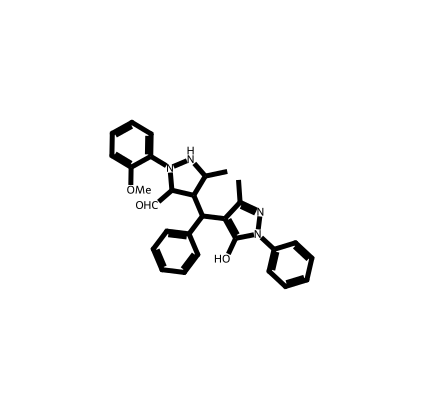 COc1ccccc1N1NC(C)C(C(c2ccccc2)c2c(C)nn(-c3ccccc3)c2O)C1C=O